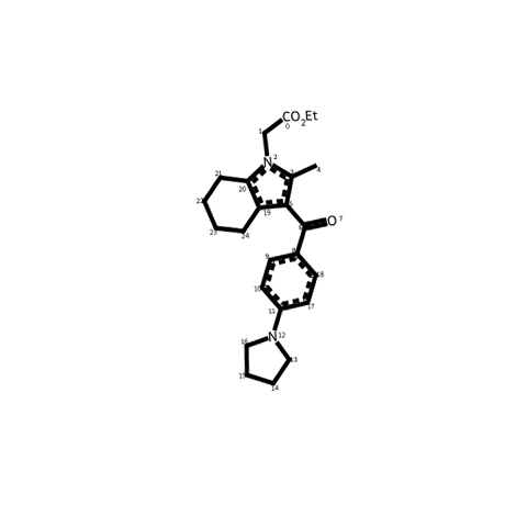 CCOC(=O)Cn1c(C)c(C(=O)c2ccc(N3CCCC3)cc2)c2c1CCCC2